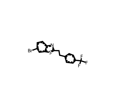 FC(F)(F)c1ccc(CCc2nc3ccc(Br)cc3s2)cc1